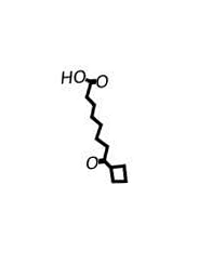 O=C(O)CCCCCCC(=O)C1CCC1